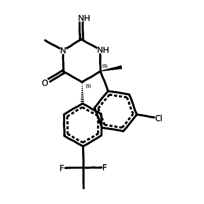 CN1C(=N)N[C@](C)(c2cccc(Cl)c2)[C@H](c2ccc(C(C)(F)F)cc2)C1=O